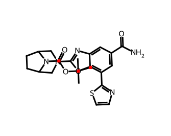 CC(C)(C)OC(=O)N1C2CCC1CN(c1nc3cc(C(N)=O)cc(-c4nccs4)c3o1)C2